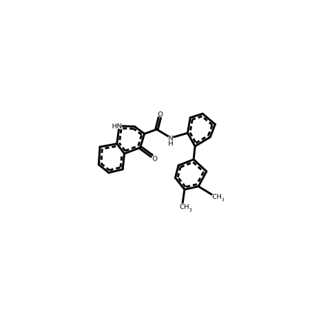 Cc1ccc(-c2ccccc2NC(=O)c2c[nH]c3ccccc3c2=O)cc1C